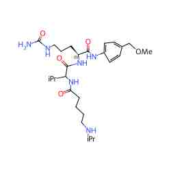 COCc1ccc(NC(=O)[C@H](CCCNC(N)=O)NC(=O)C(NC(=O)CCCCNC(C)C)C(C)C)cc1